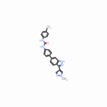 Cn1cc(-c2n[nH]c3cc(-c4ccc(NC(=O)Nc5ccc(C(F)(F)F)cc5)cc4)ccc23)cn1